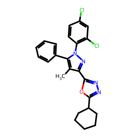 Cc1c(-c2nnc(C3CCCCC3)o2)nn(-c2ccc(Cl)cc2Cl)c1-c1ccccc1